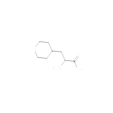 NC(CC1CCOCC1)C(=O)O